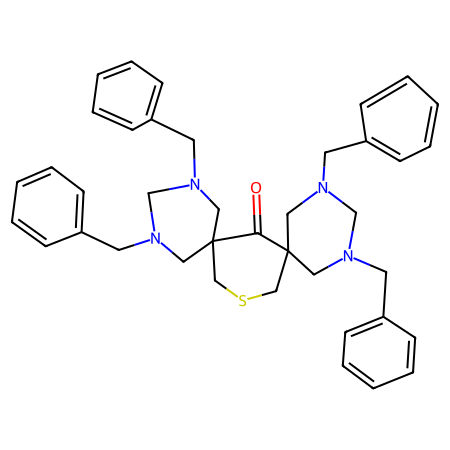 O=C1C2(CSCC13CN(Cc1ccccc1)CN(Cc1ccccc1)C3)CN(Cc1ccccc1)CN(Cc1ccccc1)C2